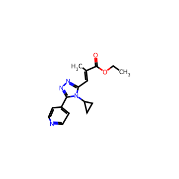 CCOC(=O)/C(C)=C/c1nnc(-c2ccncc2)n1C1CC1